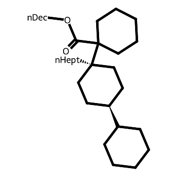 CCCCCCCCCCOC(=O)C1([C@]2(CCCCCCC)CC[C@H](C3CCCCC3)CC2)CCCCC1